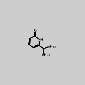 CCCCCCC(CCCCCC)c1cccc(=O)[nH]1